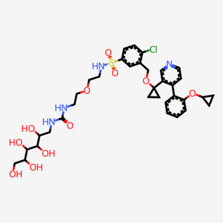 O=C(NCCOCCNS(=O)(=O)c1ccc(Cl)c(COC2(c3cnccc3-c3ccccc3OC3CC3)CC2)c1)NCC(O)C(O)C(O)C(O)CO